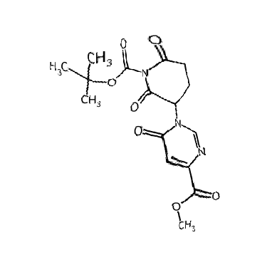 COC(=O)c1cc(=O)n(C2CCC(=O)N(C(=O)OC(C)(C)C)C2=O)cn1